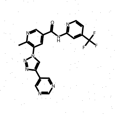 Cc1ncc(C(=O)Nc2cc(C(F)(F)F)ccn2)cc1-n1cc(-c2cncnc2)nn1